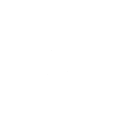 CCCC1C=Cc2c1ccc(Br)c2-c1ccccc1